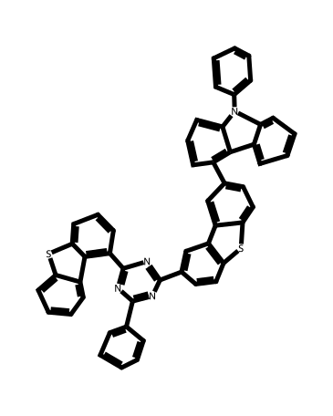 c1ccc(-c2nc(-c3ccc4sc5ccc(-c6cccc7c6c6ccccc6n7-c6ccccc6)cc5c4c3)nc(-c3cccc4sc5ccccc5c34)n2)cc1